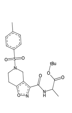 Cc1ccc(S(=O)(=O)N2CCc3onc(C(=O)NC(C)C(=O)OC(C)(C)C)c3C2)cc1